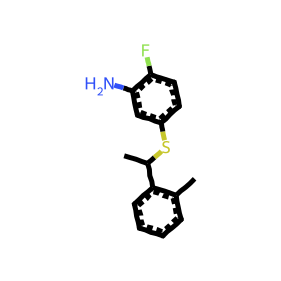 Cc1ccccc1C(C)Sc1ccc(F)c(N)c1